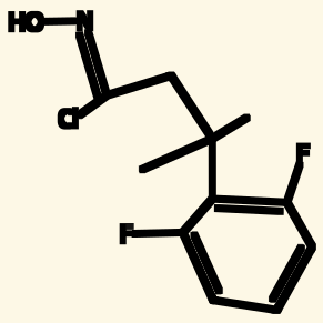 CC(C)(CC(Cl)=NO)c1c(F)cccc1F